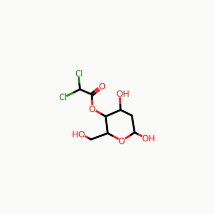 O=C(OC1C(O)CC(O)OC1CO)C(Cl)Cl